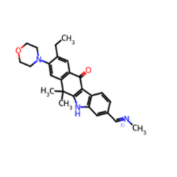 CCc1cc2c(cc1N1CCOCC1)C(C)(C)c1[nH]c3cc(/C=N/C)ccc3c1C2=O